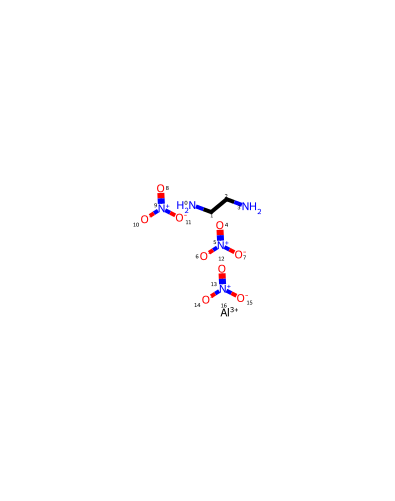 NCCN.O=[N+]([O-])[O-].O=[N+]([O-])[O-].O=[N+]([O-])[O-].[Al+3]